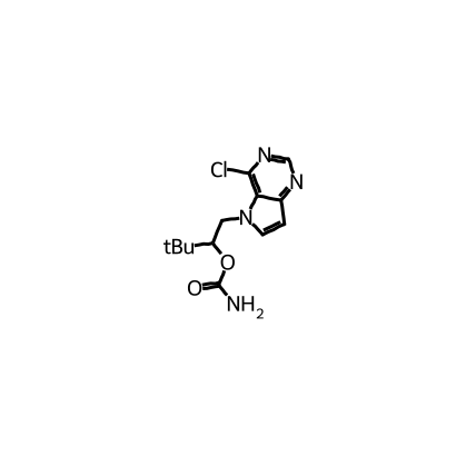 CC(C)(C)C(Cn1ccc2ncnc(Cl)c21)OC(N)=O